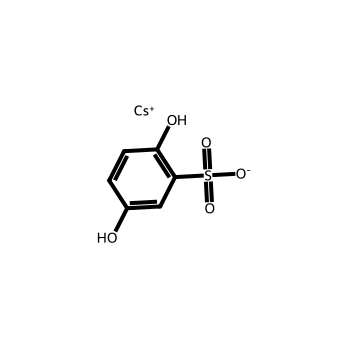 O=S(=O)([O-])c1cc(O)ccc1O.[Cs+]